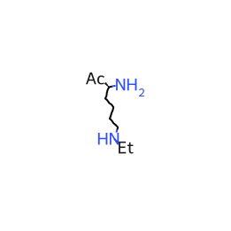 CCNCCCC[C@H](N)C(C)=O